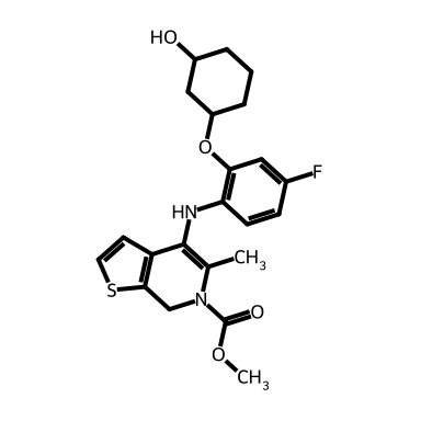 COC(=O)N1Cc2sccc2C(Nc2ccc(F)cc2OC2CCCC(O)C2)=C1C